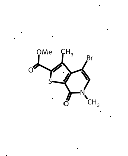 COC(=O)c1sc2c(=O)n(C)cc(Br)c2c1C